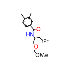 COCOCC(CC(C)C)NC(=O)c1ccc(C)c(C)c1